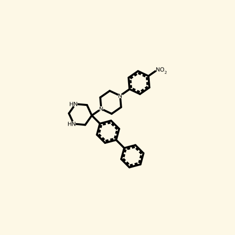 O=[N+]([O-])c1ccc(N2CCN(C3(c4ccc(-c5ccccc5)cc4)CNCNC3)CC2)cc1